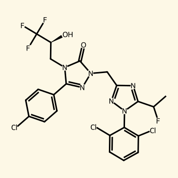 CC(F)c1nc(Cn2nc(-c3ccc(Cl)cc3)n(C[C@H](O)C(F)(F)F)c2=O)nn1-c1c(Cl)cccc1Cl